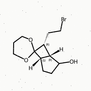 OC1CC[C@H]2[C@@H]1[C@@H](CCBr)C21OCCCO1